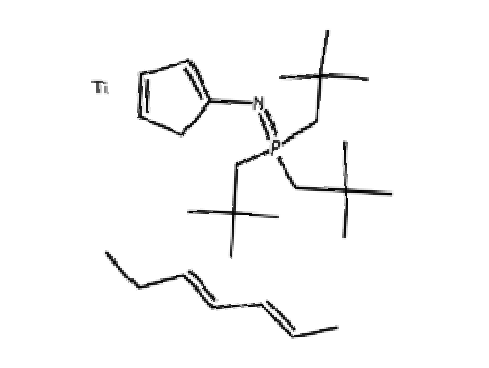 CC(C)(C)CP(CC(C)(C)C)(CC(C)(C)C)=NC1=CC=CC1.CC=CC=CCC.[Ti]